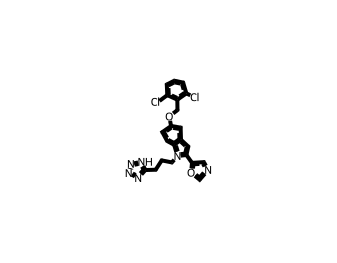 Clc1cccc(Cl)c1COc1ccc2c(c1)cc(-c1cnco1)n2CCCc1nnn[nH]1